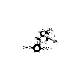 COc1ccc(C=O)cc1NC(=O)[C@@H]1COC(C)(C)N1C(=O)OC(C)(C)C